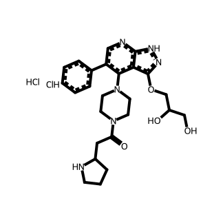 Cl.Cl.O=C(CC1CCCN1)N1CCN(c2c(-c3ccccc3)cnc3[nH]nc(OCC(O)CO)c23)CC1